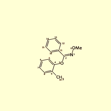 CO/N=C(/Oc1ccccc1C)c1[c]cccc1